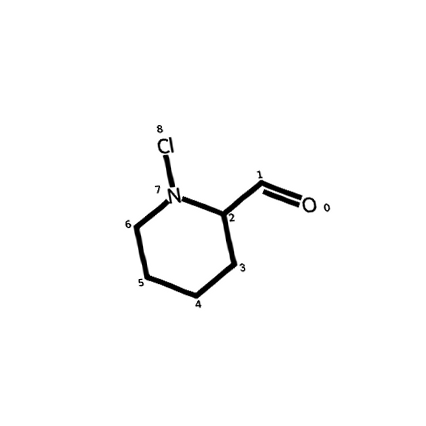 O=CC1CCCCN1Cl